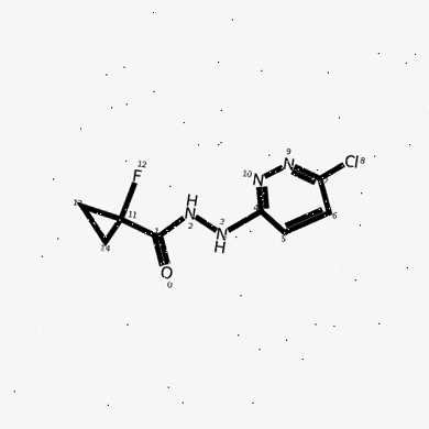 O=C(NNc1ccc(Cl)nn1)C1(F)CC1